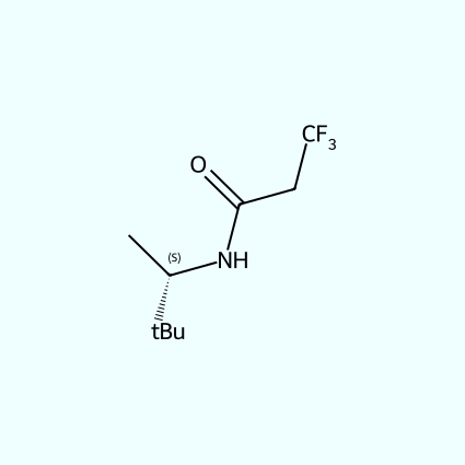 C[C@H](NC(=O)CC(F)(F)F)C(C)(C)C